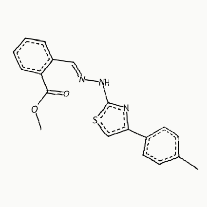 COC(=O)c1ccccc1/C=N/Nc1nc(-c2ccc(C)cc2)cs1